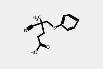 CC(C#N)(CCC(=O)O)CSc1ccccc1